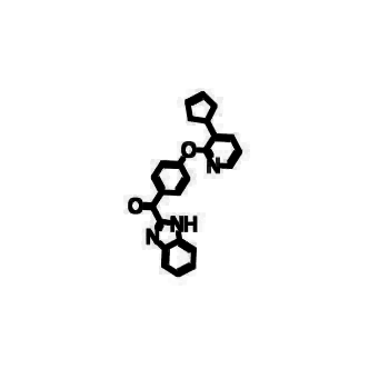 O=C(c1ccc(Oc2ncccc2C2CC=CC2)cc1)c1nc2ccccc2[nH]1